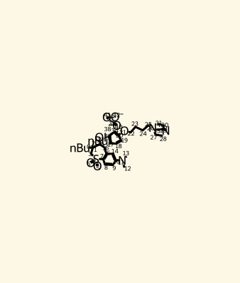 CCCCC1(CCCC)CS(=O)(=O)c2ccc(N(C)C)cc2[C@@H](c2ccc(OCCCC[N+]34CCN(CC3)CC4)cc2)[C@H]1O.CS(=O)(=O)[O-]